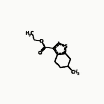 CCOC(=O)c1[c]sc2c1CCC(C)C2